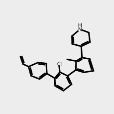 C=Cc1ccc(-c2cccc(-c3cccc(C4=CCNC=C4)c3C)c2Cl)cc1